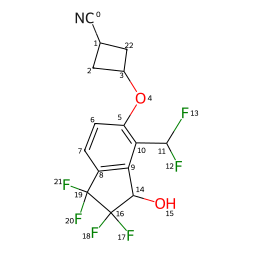 N#CC1CC(Oc2ccc3c(c2C(F)F)C(O)C(F)(F)C3(F)F)C1